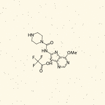 COc1ncnc2sc(NC(=O)N3CCNCC3)nc12.O=C(O)C(F)(F)F